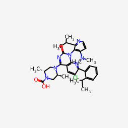 CC(C)c1ccccc1-c1nc2c(cc1Cl)c(N1C[C@@H](C)N(C(=O)O)C[C@@H]1C)nc(=O)n2-c1c(N(C)C)ccnc1C(C)C